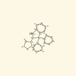 c1ccc(C2(c3ccccc3)c3ccccc3NC2C2CCCO2)cc1